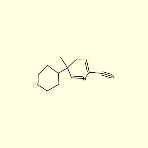 CC1(C2CCNCC2)C=NC(C#N)=CC1